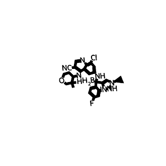 BC(Nc1cc(Cl)c2ncc(C#N)c(NC3CCOCC3(C)C)c2c1)(C1=CN(C2CC2)NN1)c1ccc(F)cc1